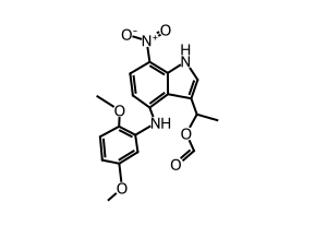 COc1ccc(OC)c(Nc2ccc([N+](=O)[O-])c3[nH]cc(C(C)OC=O)c23)c1